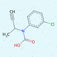 C#CC(C)N(C(=O)O)c1cccc(Cl)c1